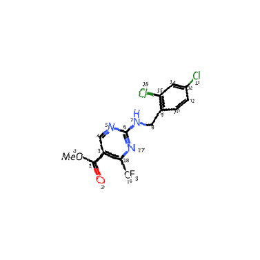 COC(=O)c1cnc(NCc2ccc(Cl)cc2Cl)nc1C(F)(F)F